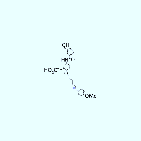 COc1ccc(/C=C/CCCCOc2ccc(NC(=O)c3cccc(CO)c3)cc2CCC(=O)O)cc1